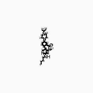 CCCCNc1ncc2c3ccc(N4CCN(C(C)C)CC4)cc3c(=O)n(C)c2n1